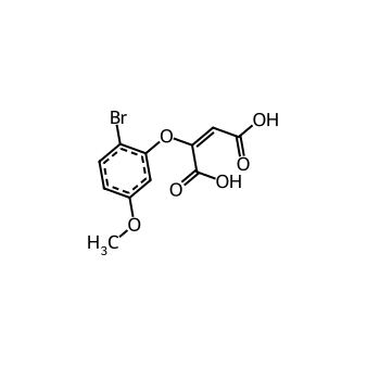 COc1ccc(Br)c(O/C(=C/C(=O)O)C(=O)O)c1